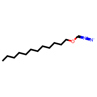 CCCCCCCCCCCCOC=[N+]=[N-]